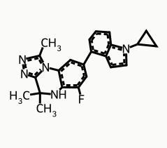 Cc1nnc2n1-c1cc(-c3cccc4c3ccn4C3CC3)cc(F)c1NC2(C)C